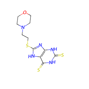 S=c1[nH]c(=S)c2[nH]c(SCCN3CCOCC3)nc2[nH]1